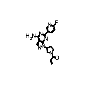 C=CC(=O)N1CCC(n2ncc3c(N)nc(-c4ccc(F)nc4)nc32)C1